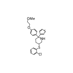 COCCOc1ccc(C2(c3ccsc3)CCC(Sc3ccccc3Cl)CN2)cc1